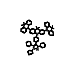 CC1(C)c2ccccc2C(c2ccc3c(c2)C(C)(C)c2cc(N4c5ccccc5C(C)(C)c5ccccc54)ccc2N3c2ccc(-c3c(-c4ccccc4)nn(-c4ccccc4)c3-c3ccccc3)cc2)c2ccccc21